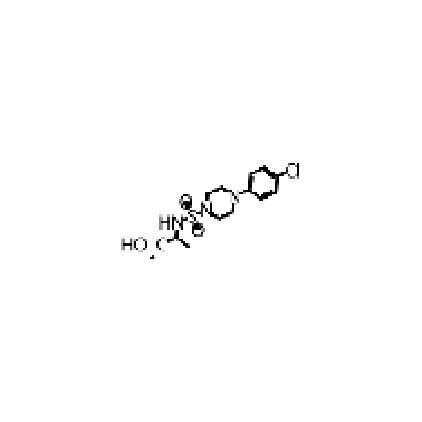 CC(NS(=O)(=O)N1CCN(c2ccc(Cl)cc2)CC1)C(=O)O